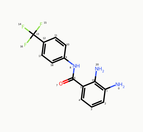 Nc1cccc(C(=O)Nc2ccc(C(F)(F)F)cc2)c1N